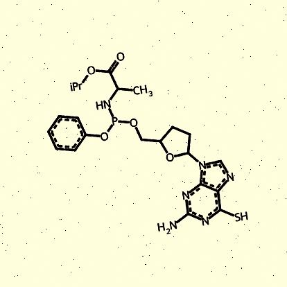 CC(C)OC(=O)C(C)NP(OCC1CCC(n2cnc3c(S)nc(N)nc32)O1)Oc1ccccc1